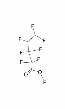 O=C(OF)C(F)(F)C(F)(F)C(F)C(F)F